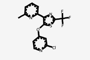 Cc1cccc(-c2nc(C(F)(F)F)sc2Oc2ccnc(Cl)c2)n1